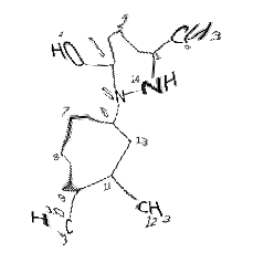 CC1CC(O)N(C2CCC(C)C(C)C2)N1